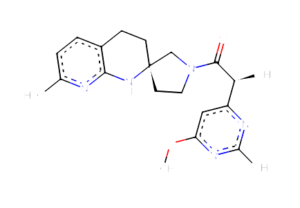 COc1cc([C@H](C)C(=O)N2CC[C@@]3(CCc4ccc(C)nc4N3)C2)nc(C)n1